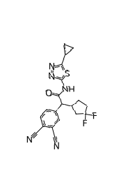 N#Cc1ccc(C(C(=O)Nc2nnc(C3CC3)s2)C2CCC(F)(F)C2)cc1C#N